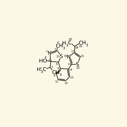 CC1=NC(O)(C(C)C)C(c2ccccc2-c2nc(C(C)C)cs2)S1